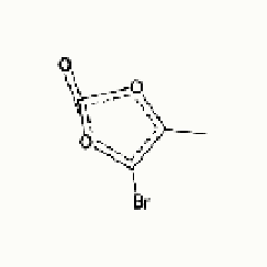 Cc1oc(=O)oc1Br